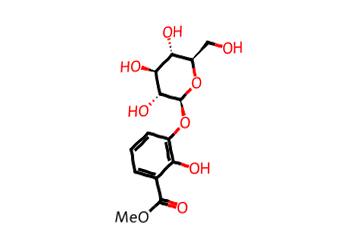 COC(=O)c1cccc(O[C@@H]2O[C@H](CO)[C@@H](O)[C@H](O)[C@H]2O)c1O